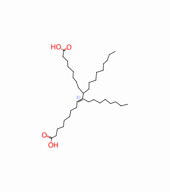 CCCCCCCCCC(CCCCCCCC(=O)O)/C(=C/CCCCCCCC(=O)O)CCCCCCCC